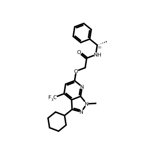 C[C@H](NC(=O)COc1cc(C(F)(F)F)c2c(C3CCCCC3)nn(C)c2n1)c1ccccc1